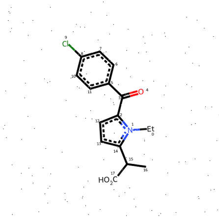 CCn1c(C(=O)c2ccc(Cl)cc2)ccc1C(C)C(=O)O